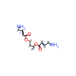 CC(CCOC(=O)/C=C/CN)OC(=O)/C=C/CN